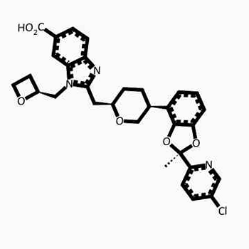 C[C@@]1(c2ccc(Cl)cn2)Oc2cccc([C@@H]3CC[C@H](Cc4nc5ccc(C(=O)O)cc5n4C[C@@H]4CCO4)OC3)c2O1